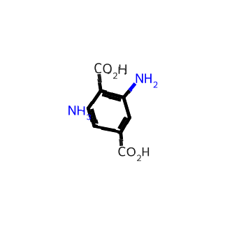 N.Nc1cc(C(=O)O)ccc1C(=O)O